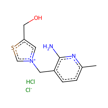 Cc1ccc(C[n+]2csc(CO)c2)c(N)n1.Cl.[Cl-]